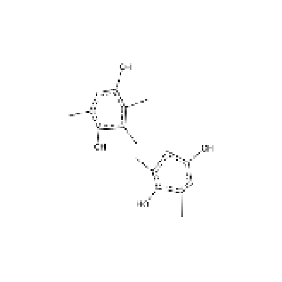 Cc1cc(O)c(C)c(C)c1O.Cc1cc(O)cc(C)c1O